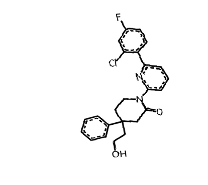 O=C1CC(CCO)(c2ccccc2)CCN1c1cccc(-c2ccc(F)cc2Cl)n1